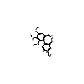 COc1cc2c(c(OC)c1OC)-c1ccc(N)cc1COC2